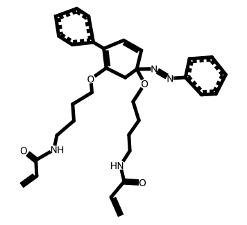 C=CC(=O)NCCCCOC1=C(c2ccccc2)C=CC(N=Nc2ccccc2)(OCCCCNC(=O)C=C)C1